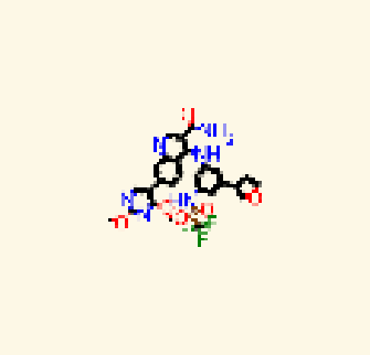 COc1ncc(-c2ccc3c(Nc4cc(NS(=O)(=O)C(F)(F)F)cc(-c5ccoc5)c4)c(C(N)=O)cnc3c2)c(OC)n1